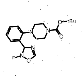 CC(C)(C)OC(=O)N1CCN(c2ccccc2C2N=CON2F)CC1